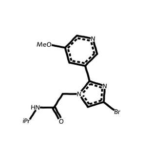 COc1cncc(-c2nc(Br)cn2CC(=O)NC(C)C)c1